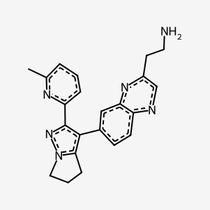 Cc1cccc(-c2nn3c(c2-c2ccc4ncc(CCN)nc4c2)CCC3)n1